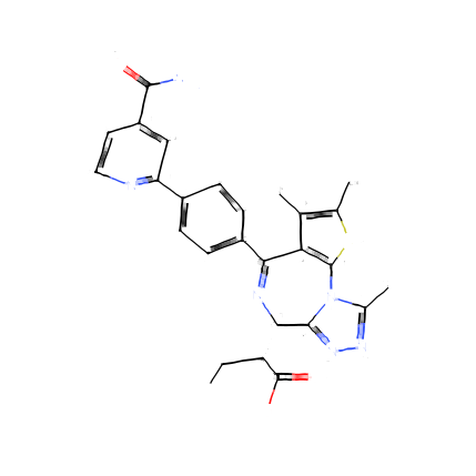 CCC(C(=O)O)[C@@H]1N=C(c2ccc(-c3cc(C(N)=O)ccn3)cc2)c2c(sc(C)c2C)-n2c(C)nnc21